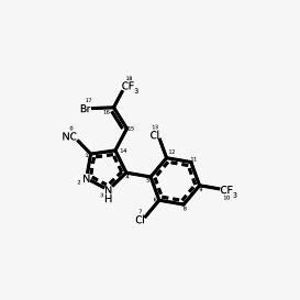 N#Cc1n[nH]c(-c2c(Cl)cc(C(F)(F)F)cc2Cl)c1C=C(Br)C(F)(F)F